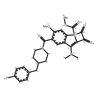 COc1cc2c(cc1C(=O)N1CCC(Cc3ccc(F)cc3)CC1)C(N(C)C)=C1C(=O)C(=O)[N+]12C(=O)OC(C)(C)C